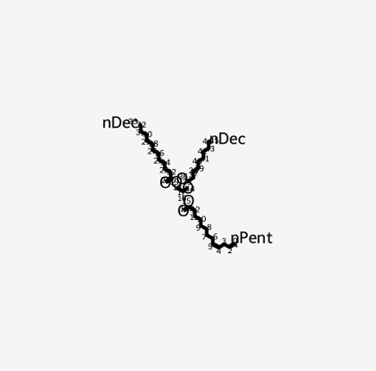 CCCCC/C=C\C/C=C\CCCCCCCC(=O)OC[C@H](COC(=O)CCCCCCCCCCCCCCCCCCCCC)OC(=O)CCCCCCCCCCCCCCCCCC